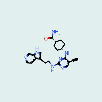 C#Cc1cnc(NCCc2c[nH]c3cnccc23)nc1N[C@H]1CC[C@@H](C(N)=O)CC1